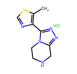 Cc1scnc1-c1nnc2n1CCNC2.Cl